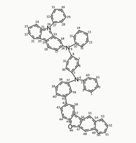 c1ccc(N(c2ccc(N(c3ccccc3)c3ccc4c5ccccc5n(-c5ccccc5)c4c3)cc2)c2cccc(-c3ccc4oc5cc6ccccc6cc5c4c3)c2)cc1